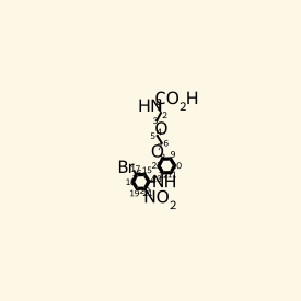 O=C(O)NCCOCCOc1cccc(Nc2cc(Br)ccc2[N+](=O)[O-])c1